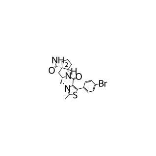 [CH2][C@H]1C[C@@]2(C(N)=O)CCC[C@@H]2N1C(=O)c1nc(C)sc1-c1ccc(Br)cc1